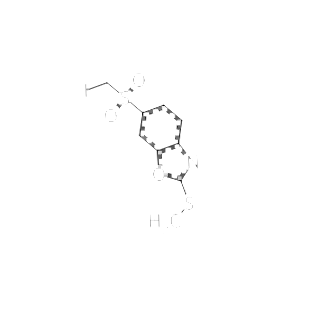 CSc1nc2ccc(S(=O)(=O)CI)cc2o1